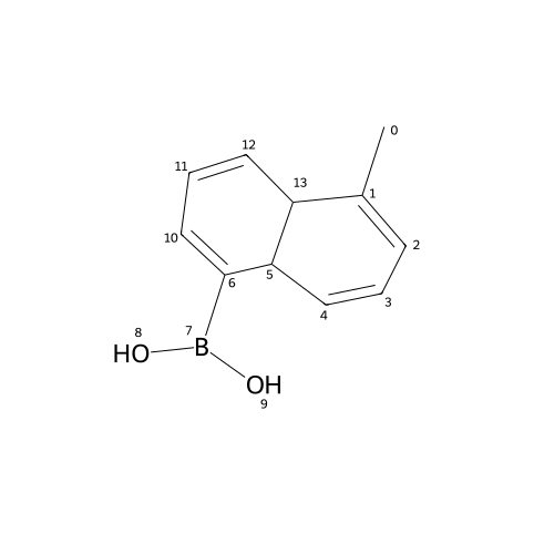 CC1=CC=CC2C(B(O)O)=CC=CC12